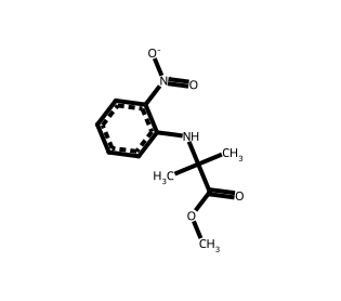 COC(=O)C(C)(C)Nc1ccccc1[N+](=O)[O-]